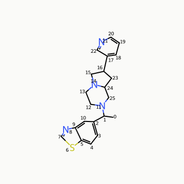 CC(c1ccc2scnc2c1)N1CCN2CC(c3cccnc3)CC2C1